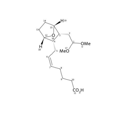 COC(C[C@@H]1[C@H](C/C=C\CCCC(=O)O)[C@@H]2CC[C@H]1O2)OC